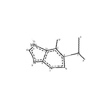 Cc1c(C(C)C)cnc2nc[nH]c12